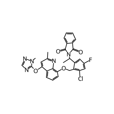 Cc1cc(Oc2ncnn2C)c2cccc(OCc3c(Cl)cc(F)cc3C(C)N3C(=O)c4ccccc4C3=O)c2n1